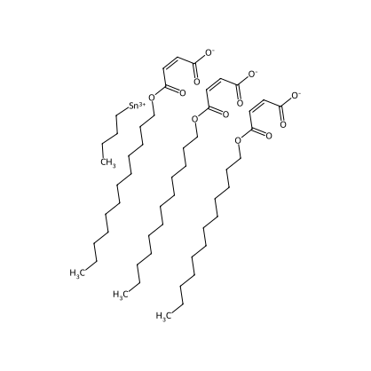 CCCCCCCCCCCCOC(=O)/C=C\C(=O)[O-].CCCCCCCCCCCCOC(=O)/C=C\C(=O)[O-].CCCCCCCCCCCCOC(=O)/C=C\C(=O)[O-].CCC[CH2][Sn+3]